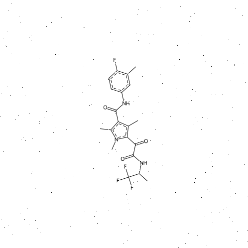 Cc1cc(NC(=O)c2c(C)c(C(=O)C(=O)NC(C)C(F)(F)F)n(C)c2C)ccc1F